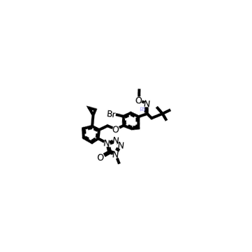 CO/N=C(/CC(C)(C)C)c1ccc(OCc2c(C3CC3)cccc2-n2nnn(C)c2=O)c(Br)c1